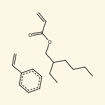 C=CC(=O)OCC(CC)CCCC.C=Cc1ccccc1